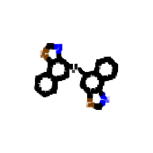 Cc1cc2scnc2c2ccccc12.c1ccc2c(c1)ccc1ncsc12